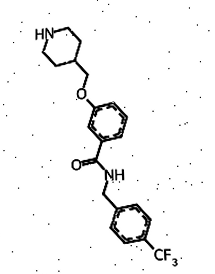 O=C(NCc1ccc(C(F)(F)F)cc1)c1cccc(OCC2CCNCC2)c1